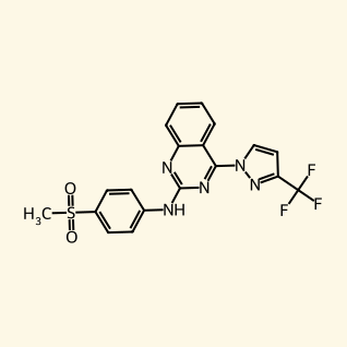 CS(=O)(=O)c1ccc(Nc2nc(-n3ccc(C(F)(F)F)n3)c3ccccc3n2)cc1